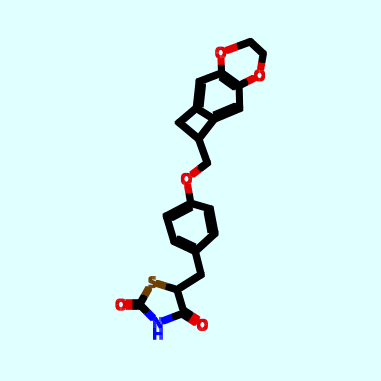 O=C1NC(=O)C(Cc2ccc(OCC3Cc4cc5c(cc43)OCCO5)cc2)S1